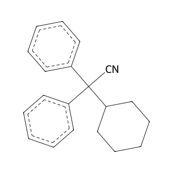 N#CC(c1ccccc1)(c1ccccc1)C1CCCCC1